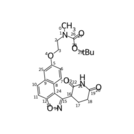 CN(CCOc1ccc2c(ccc3onc(C4CCC(=O)NC4=O)c32)c1)C(=O)OC(C)(C)C